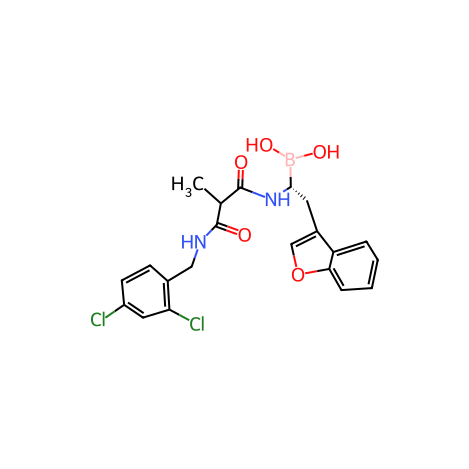 CC(C(=O)NCc1ccc(Cl)cc1Cl)C(=O)N[C@@H](Cc1coc2ccccc12)B(O)O